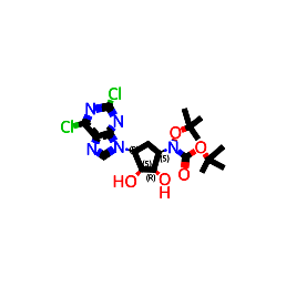 CC(C)(C)OC(=O)N(OC(C)(C)C)[C@H]1C[C@@H](n2cnc3c(Cl)nc(Cl)nc32)[C@H](O)[C@@H]1O